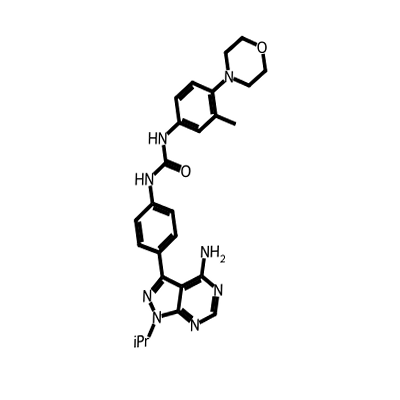 Cc1cc(NC(=O)Nc2ccc(-c3nn(C(C)C)c4ncnc(N)c34)cc2)ccc1N1CCOCC1